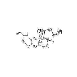 CCCC1CCC(Oc2ccc3c(c2F)C(=O)OC(CCC)C3)CC1